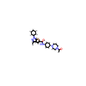 CC(=O)N1CCCN([C@H]2CC[C@H](NC(=O)c3cc4c(C)nn(C5CCCCC5)c4s3)CC2)CC1